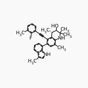 Cc1cccc(C#Cc2c(-c3cccc4c(C)c[nH]c34)cc(C)c3c2[C@H](C)C(O)C(C)(C)N3)c1F